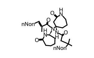 CCCCCCCCC/C=C(\C)C(=O)N([C@H]1CCCCC(=O)N1)[C@@]1(NC(=O)CC(C)(C)CCCCCCCCC)CCCNC(=O)C1